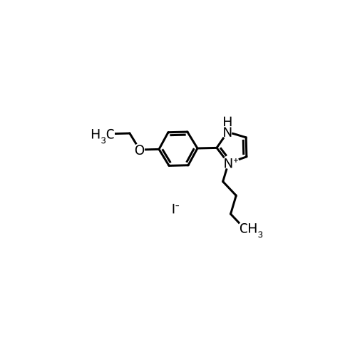 CCCC[n+]1cc[nH]c1-c1ccc(OCC)cc1.[I-]